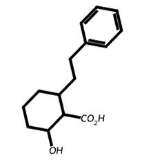 O=C(O)C1C(O)CCCC1CCc1ccccc1